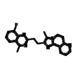 Cc1nc(CCc2nc3c4cccnc4ccn3c2C)nc2c(F)cccc12